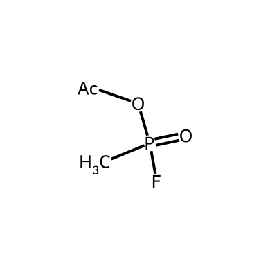 CC(=O)OP(C)(=O)F